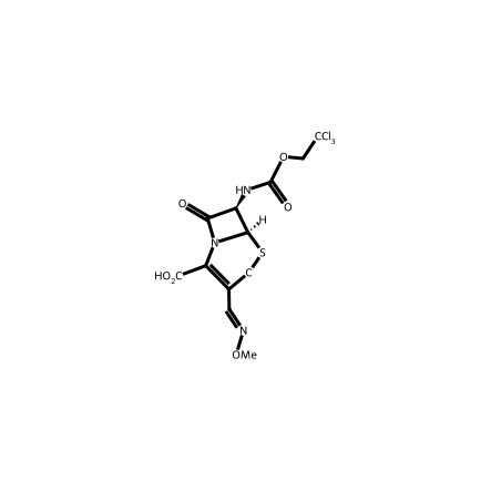 CO/N=C/C1=C(C(=O)O)N2C(=O)[C@@H](NC(=O)OCC(Cl)(Cl)Cl)[C@H]2SC1